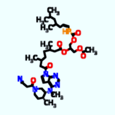 CC(=O)OCC(COC(=O)P/C=C\CC(C)CC(C)C)OC(=O)CC(C)CCC(C)CC(=O)n1ccc2c(N(C)[C@H]3CN(C(=O)CC#N)CC[C@H]3C)ncnc21